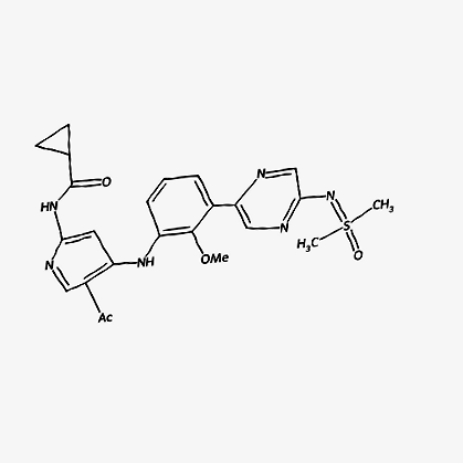 COc1c(Nc2cc(NC(=O)C3CC3)ncc2C(C)=O)cccc1-c1cnc(N=S(C)(C)=O)cn1